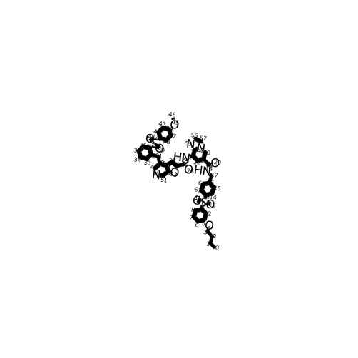 CCCCOc1cccc(S(=O)(=O)c2ccc(CNC(=O)c3cc(NC(=O)c4cc5c(Cc6ccccc6S(=O)(=O)c6ccc(OC)cc6)cncc5o4)c4nccn4c3)cc2)c1